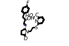 O=C(O)c1cccc(SCCN2C(=O)CC[C@@H]2/C=C/[C@@H](O)Cc2ccc(F)cc2)n1